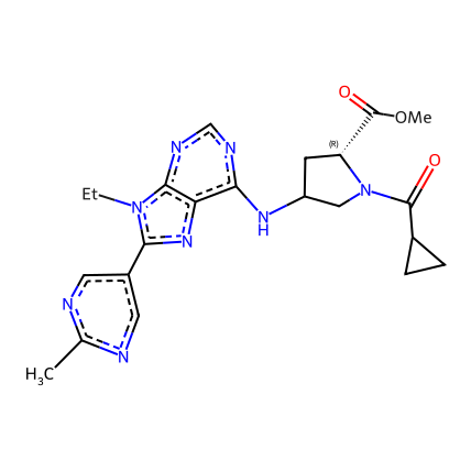 CCn1c(-c2cnc(C)nc2)nc2c(NC3C[C@H](C(=O)OC)N(C(=O)C4CC4)C3)ncnc21